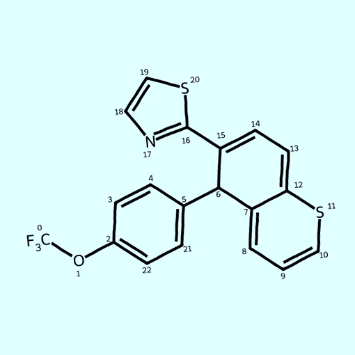 FC(F)(F)Oc1ccc(C2C3=CC=CSC3=CC=C2c2nccs2)cc1